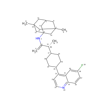 C=C(NC12CC3CC(C)(CC(C)(C3)C1)C2)[C@H](C)C1CCC(c2ccnc3ccc(F)cc23)CC1